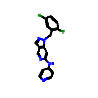 Fc1ccc(F)c(Cn2ncc3cnc(Nc4ccncc4)cc32)c1